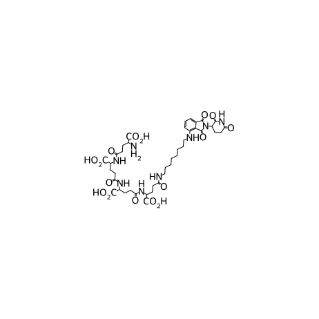 N[C@@H](CCC(=O)N[C@@H](CCC(=O)N[C@@H](CCC(=O)N[C@@H](CCC(=O)NCCCCCCCCNc1cccc2c1C(=O)N(C1CCC(=O)NC1=O)C2=O)C(=O)O)C(=O)O)C(=O)O)C(=O)O